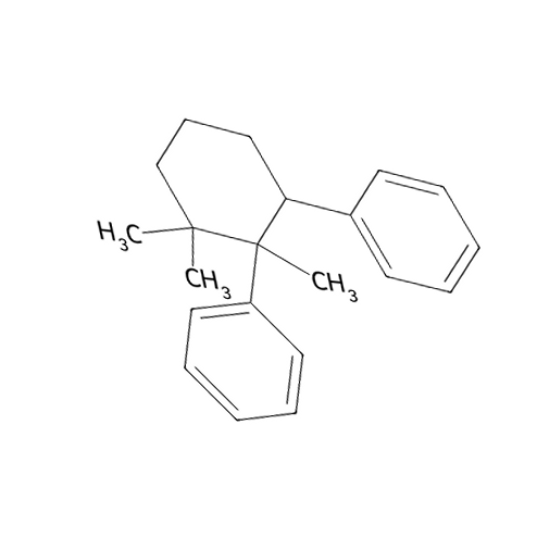 CC1(C)CCCC(c2ccccc2)C1(C)c1ccccc1